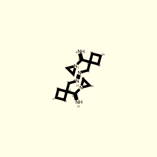 N=C(N1CC1)C1(CN=NCC2(C(=N)N3CC3)CCC2)CCC1